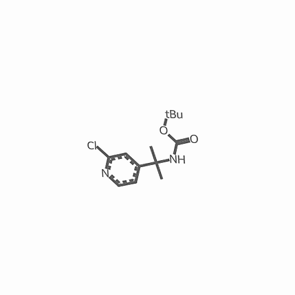 CC(C)(C)OC(=O)NC(C)(C)c1ccnc(Cl)c1